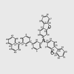 c1cc(-c2cccc(N(c3ccc4c(c3)oc3ccccc34)c3ccc4c(c3)oc3ccccc34)c2)cc(-c2cccc3ccccc23)c1